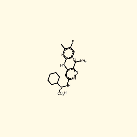 Cc1nc(Nc2cc(NN(C(=O)O)C3CCCCC3)nnc2C(N)=O)ccc1F